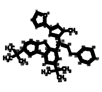 CC1C=C(c2ccco2)C=[C]1/[Zr](=[CH]/Cc1ccccc1)[c]1cc(C(C)(C)C)cc2c1Cc1ccc(C(C)(C)C)cc1-2